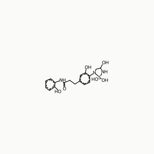 O=C(CCc1ccc(N2CC(O)NS2(O)O)c(O)c1)Nc1ccccc1O